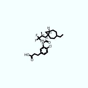 CCC1CC[C@H]2CC2([C@H](C(=O)Nc2cc(CCC(=O)O)ccc2Cl)[C@H](C)C(F)(F)F)CC1